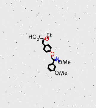 CCOC(=Cc1ccc(OCC(=NOC)c2cccc(OC)c2)cc1)C(=O)O